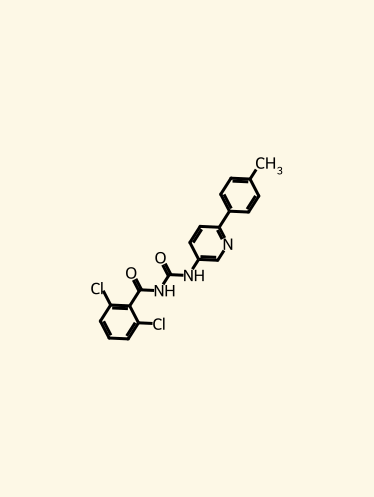 Cc1ccc(-c2ccc(NC(=O)NC(=O)c3c(Cl)cccc3Cl)cn2)cc1